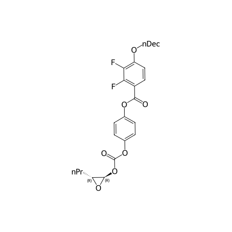 CCCCCCCCCCOc1ccc(C(=O)Oc2ccc(OC(=O)O[C@H]3O[C@@H]3CCC)cc2)c(F)c1F